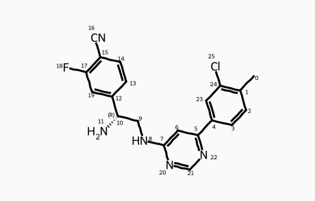 Cc1ccc(-c2cc(NC[C@H](N)c3ccc(C#N)c(F)c3)ncn2)cc1Cl